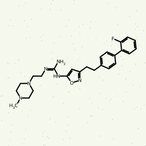 CN1CCN(CCN=C(N)Nc2cc(CCc3ccc(-c4ccccc4F)cc3)no2)CC1